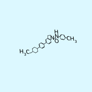 CCC1CCC(c2ccc(-c3ccc4c(c3)CCN4C(=O)Nc3ccc(C)cc3)cc2)CC1